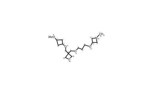 COC1CC(OCC2(COCCCOC3CN(C)C3)COC2)C1